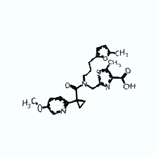 COc1ccc(C2(C(=O)N(CCCc3ccc(C)o3)Cc3nc(C(=O)O)c(C)s3)CC2)nc1